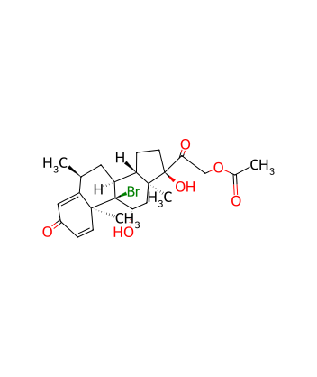 CC(=O)OCC(=O)[C@@]1(O)CC[C@H]2[C@@H]3C[C@H](C)C4=CC(=O)C=C[C@]4(C)[C@@]3(Br)[C@@H](O)C[C@@]21C